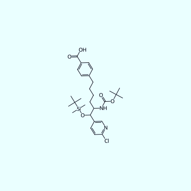 CC(C)(C)OC(=O)NC(CCCCc1ccc(C(=O)O)cc1)C(O[Si](C)(C)C(C)(C)C)c1ccc(Cl)nc1